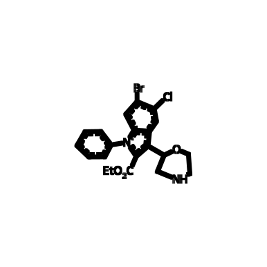 CCOC(=O)c1c(C2CNCCO2)c2cc(Cl)c(Br)cc2n1-c1ccccc1